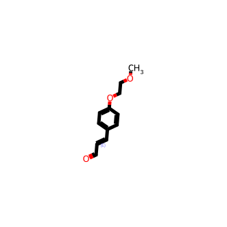 COCCOc1ccc(/C=C/C=O)cc1